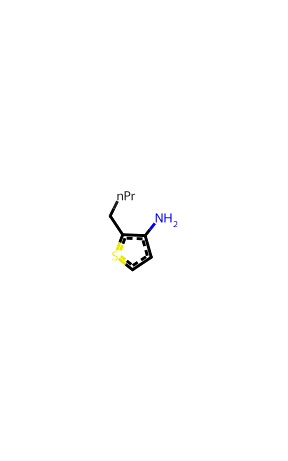 CCCCc1sccc1N